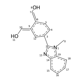 Cn1c(-c2ccc(=CO)c(=CO)c2)nc2ccccc21